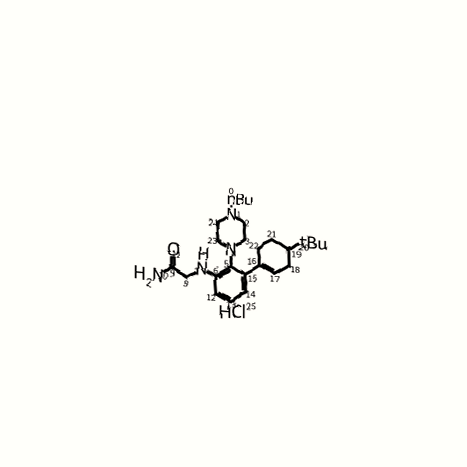 CCCCN1CCN(c2c(NCC(N)=O)cccc2C2=CCC(C(C)(C)C)CC2)CC1.Cl